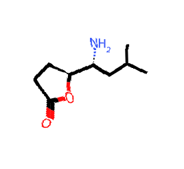 CC(C)C[C@@H](N)[C@@H]1CCC(=O)O1